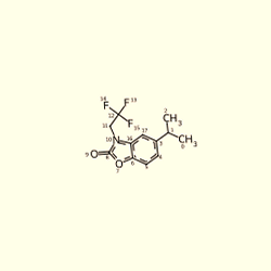 CC(C)c1ccc2oc(=O)n(CC(F)(F)F)c2c1